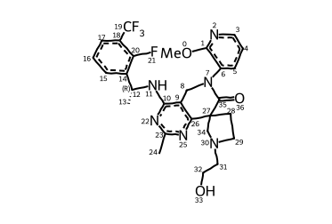 COc1ncccc1N1Cc2c(N[C@H](C)c3cccc(C(F)(F)F)c3F)nc(C)nc2C2(CCN(CCO)C2)C1=O